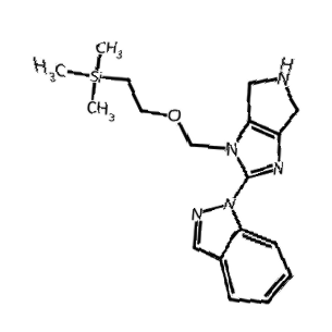 C[Si](C)(C)CCOCn1c(-n2ncc3ccccc32)nc2c1CNC2